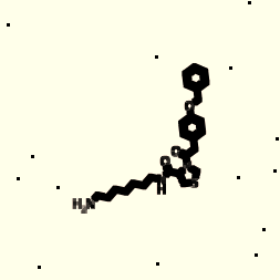 NCCCCCCCNC(=O)C1CSCN1C(=O)Cc1ccc(OCc2ccccc2)cc1